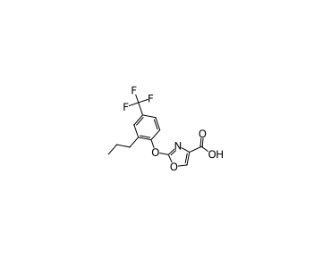 CCCc1cc(C(F)(F)F)ccc1Oc1nc(C(=O)O)co1